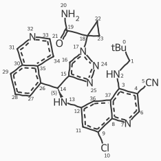 CC(C)(C)CNc1c(C#N)cnc2c(Cl)cc(N[C@H](c3cn(C4(C(N)=O)CC4)nn3)c3cccc4cnccc34)cc12